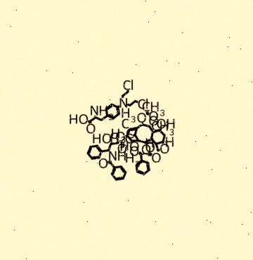 CC(=O)O[C@H]1C(=O)[C@@]2(C)[C@H]([C@H](OC(=O)c3ccccc3)[C@]3(O)C[C@H](OC(=O)[C@H](O)[C@@H](NC(=O)c4ccccc4)c4ccccc4)C(C)=C1C3(C)C)[C@]1(OC(C)=O)CO[C@@H]1C[C@@H]2O.N[C@@H](Cc1ccc(N(CCCl)CCCl)cc1)C(=O)O